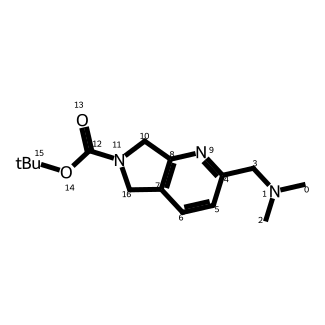 CN(C)Cc1ccc2c(n1)CN(C(=O)OC(C)(C)C)C2